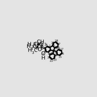 CC1(C)OB(c2cc3c(cc2O)C(c2ccccc2)(c2ccccc2)c2ccccc2-3)OC1(C)C